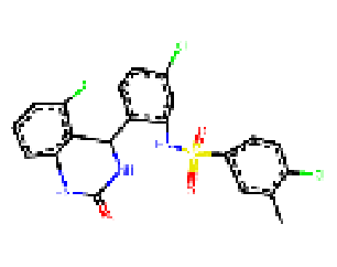 Cc1cc(S(=O)(=O)Nc2cc(Cl)ccc2C2NC(=O)Nc3cccc(Cl)c32)ccc1Cl